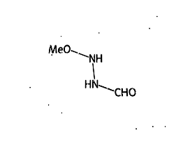 CONNC=O